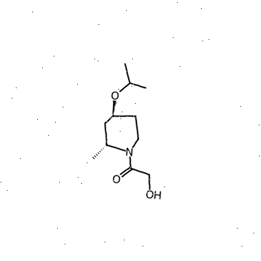 CC(C)O[C@H]1CCN(C(=O)CO)[C@H](C)C1